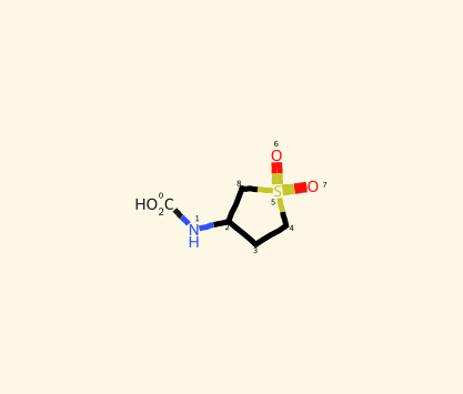 O=C(O)NC1CCS(=O)(=O)C1